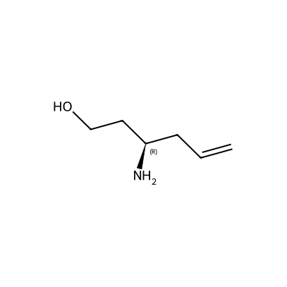 C=CC[C@@H](N)CCO